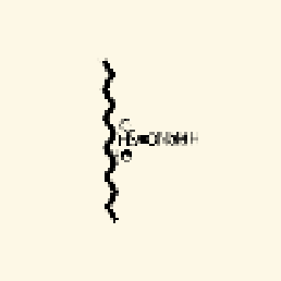 O=[SH](=O)O.[CH2]CCCCCCCCCCC.[NaH].[NaH]